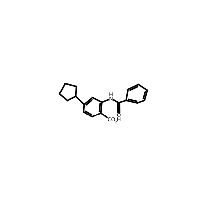 O=C(Nc1cc(C2CCCC2)ccc1C(=O)O)c1ccccc1